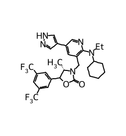 CCN(c1ncc(-c2cn[nH]c2)cc1CN1C(=O)OC(c2cc(C(F)(F)F)cc(C(F)(F)F)c2)[C@@H]1C)C1CCCCC1